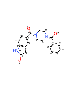 O=C1Cc2cc(C(=O)N3CCN(C(=O)c4ccccc4)CC3)ccc2N1